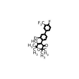 CCc1cc(-c2ccc(F)c(C(F)(F)F)c2)ccc1C1=C(O)C(C)(C)OC(C)(C)C1=O